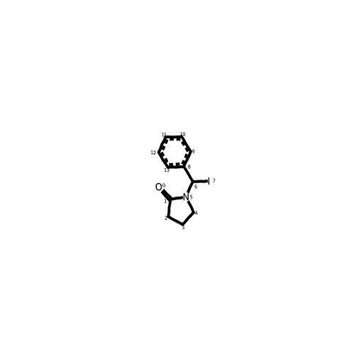 O=C1CCCN1C(I)c1ccccc1